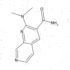 CN(C)c1nc2cnccc2cc1C(N)=O